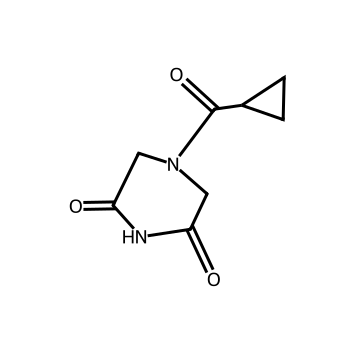 O=C1CN(C(=O)C2CC2)CC(=O)N1